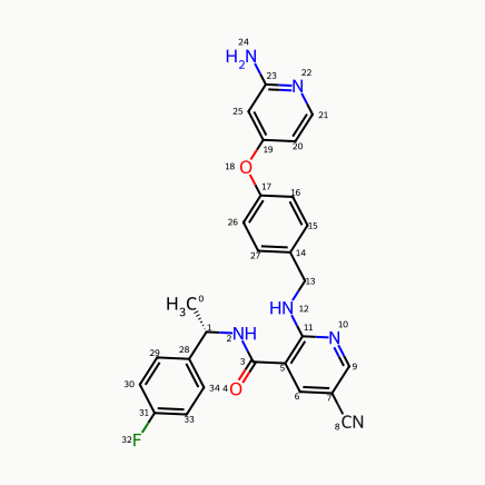 C[C@H](NC(=O)c1cc(C#N)cnc1NCc1ccc(Oc2ccnc(N)c2)cc1)c1ccc(F)cc1